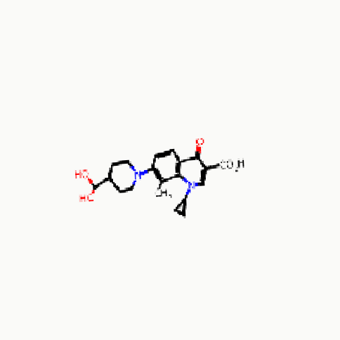 Cc1c(N2CCC(C(O)O)CC2)ccc2c(=O)c(C(=O)O)cn(C3CC3)c12